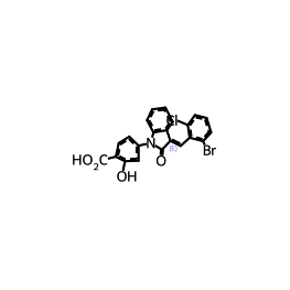 O=C(O)c1ccc(N2C(=O)/C(=C/c3c(Cl)cccc3Br)c3ccccc32)cc1O